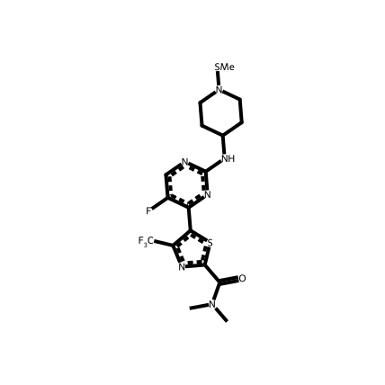 CSN1CCC(Nc2ncc(F)c(-c3sc(C(=O)N(C)C)nc3C(F)(F)F)n2)CC1